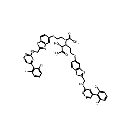 CC(=O)N(CCOc1ccc2sc(CNc3nncc(-c4c(Cl)cccc4Cl)n3)nc2c1)N(CCOc1ccc2sc(CNc3nncc(-c4c(Cl)cccc4Cl)n3)nc2c1)C(O)C(N)=O